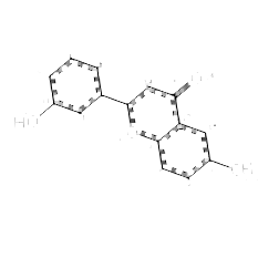 Cc1ccc2oc(-c3cccc(O)c3)cc(=O)c2c1